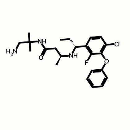 CC[C@@H](N[C@@H](C)CC(=O)NC(C)(C)CN)c1ccc(Cl)c(Oc2ccccc2)c1F